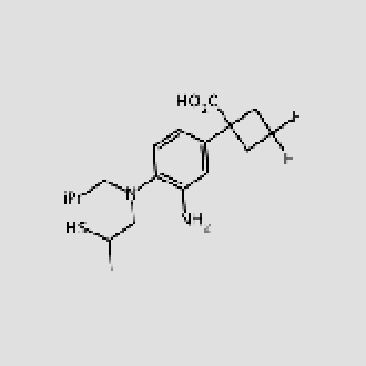 CC(C)CN(CC(C)S)c1ccc(C2(C(=O)O)CC(F)(F)C2)cc1N